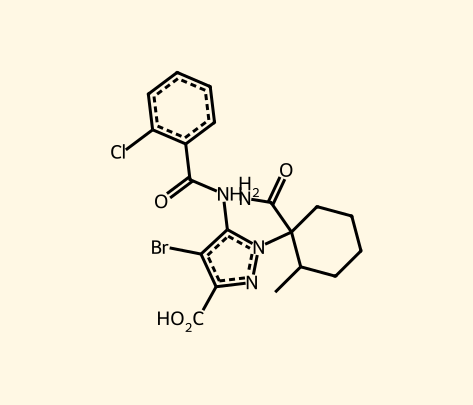 CC1CCCCC1(C(N)=O)n1nc(C(=O)O)c(Br)c1NC(=O)c1ccccc1Cl